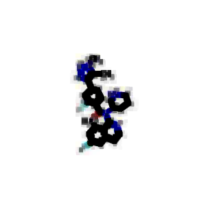 Cc1cc(F)cc2ccnc(N(C(=O)c3ccc(-c4nnn(C)c4C)cc3F)[C@@H]3CCCNC3)c12